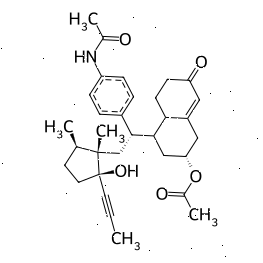 CC#C[C@]1(O)CC[C@@H](C)[C@]1(C)C[C@H](c1ccc(NC(C)=O)cc1)C1C[C@@H](OC(C)=O)CC2=CC(=O)CCC21